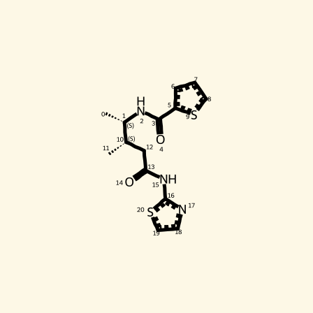 C[C@H](NC(=O)c1cccs1)[C@@H](C)CC(=O)Nc1nccs1